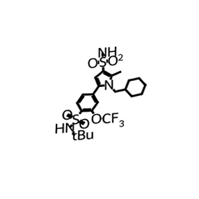 Cc1c(S(N)(=O)=O)cc(-c2ccc(S(=O)(=O)NC(C)(C)C)c(OC(F)(F)F)c2)n1CC1CCCCC1